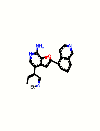 C/C=C(\C=N/CC)c1cnc(N)c2oc(-c3cccc4cnccc34)cc12